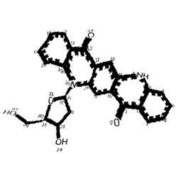 O=c1c2ccccc2[nH]c2cc3c(=O)c4ccccc4n([C@H]4CC(O)[C@@H](CO)O4)c3cc12